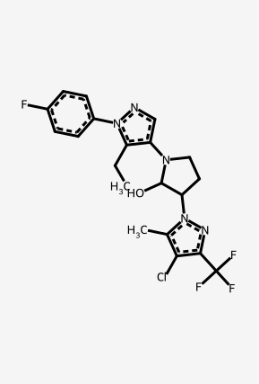 CCc1c(N2CCC(n3nc(C(F)(F)F)c(Cl)c3C)C2O)cnn1-c1ccc(F)cc1